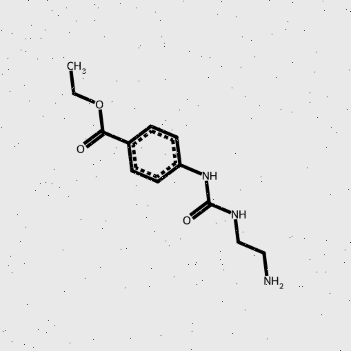 CCOC(=O)c1ccc(NC(=O)NCCN)cc1